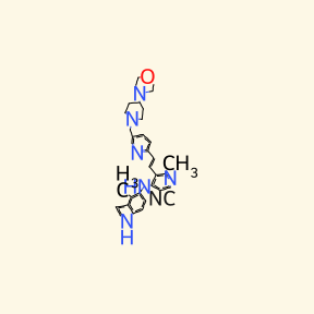 Cc1ncc(C#N)c(Nc2ccc3[nH]ccc3c2C)c1C=Cc1ccc(CN2CCC(N3CCOCC3)CC2)cn1